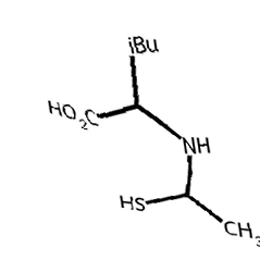 CCC(C)C(NC(C)S)C(=O)O